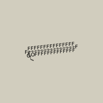 C=CC(=O)OC(F)(C(F)(F)F)C(F)(F)C(F)(F)C(F)(F)C(F)(F)C(F)(F)C(F)(F)C(F)(F)C(F)(F)C(F)(F)C(F)(F)C(F)(F)C(F)(F)C(F)(F)F